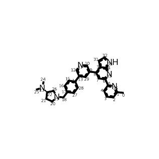 Cc1cccc(-c2cc(-c3cncc(-c4ccc(CN5CC[C@@H](N(C)C)C5)cc4)c3)c3cc[nH]c3n2)n1